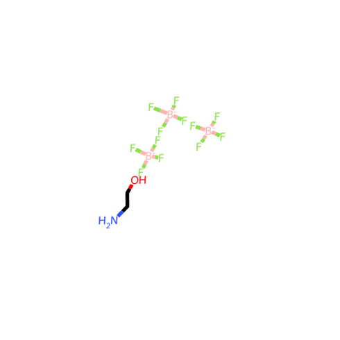 F[B-](F)(F)F.F[B-](F)(F)F.F[B-](F)(F)F.NCCO